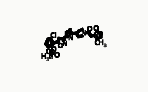 Cn1ccc(=O)n1CC(=O)N1CCC(c2nc(C3=NOC(c4c(Cl)cccc4OS(C)(=O)=O)C3)cs2)CC1